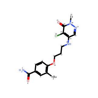 CCCCc1cc(C(N)=O)ccc1OCCCNc1cnn(CC)c(=O)c1Cl